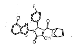 O=C(C1=C(O)C(=O)N(c2nc3c(Cl)cccc3s2)C1c1ccc(F)cc1)C1CC2C=CC1C2